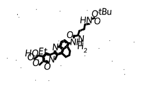 CC[C@@]1(O)C(=O)OCc2c1cc1n(c2=O)Cc2c-1nc1ccc(NC(=O)[C@@H](N)CCCCNC(=O)OC(C)(C)C)c3c1c2CCC3